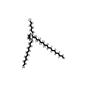 CCCCCCCCCCCCCCCCc1n(CCCCCC)cc[n+]1CCCCCCCCCCCC